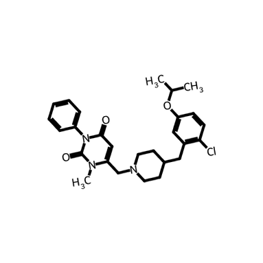 CC(C)Oc1ccc(Cl)c(CC2CCN(Cc3cc(=O)n(-c4ccccc4)c(=O)n3C)CC2)c1